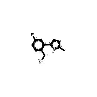 Cc1ccc(-c2cc(F)ccc2CC#N)s1